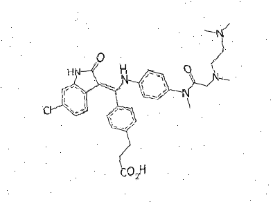 CN(C)CCN(C)CC(=O)N(C)c1ccc(N/C(=C2\C(=O)Nc3cc(Cl)ccc32)c2ccc(CCC(=O)O)cc2)cc1